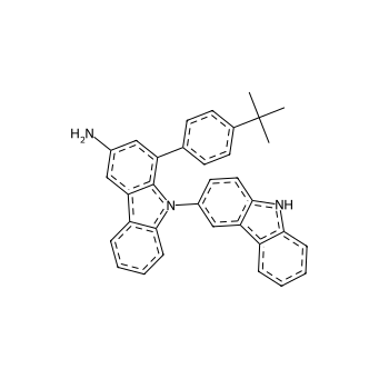 CC(C)(C)c1ccc(-c2cc(N)cc3c4ccccc4n(-c4ccc5[nH]c6ccccc6c5c4)c23)cc1